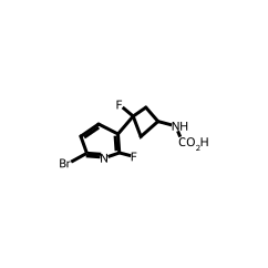 O=C(O)NC1CC(F)(c2ccc(Br)nc2F)C1